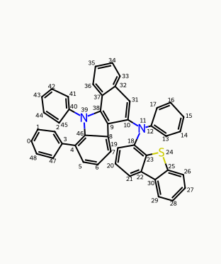 c1ccc(-c2cccc3c4c(N(c5ccccc5)c5cccc6c5sc5ccccc56)cc5ccccc5c4n(-c4ccccc4)c23)cc1